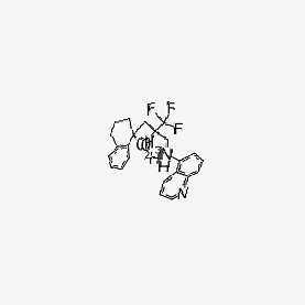 [2H]OC(CNc1cccc2ncccc12)(CC1(C)CCCc2ccccc21)C(F)(F)F